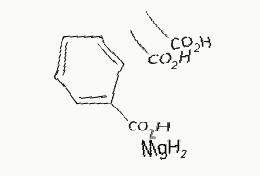 CC(=O)O.CC(=O)O.O=C(O)c1ccccc1.[MgH2]